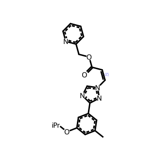 Cc1cc(OC(C)C)cc(-c2ncn(/C=C\C(=O)OCc3ccccn3)n2)c1